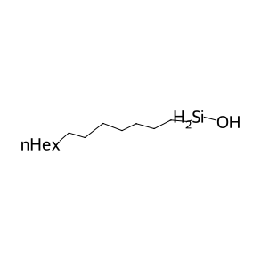 CCCCCCCCCCCCCC[SiH2]O